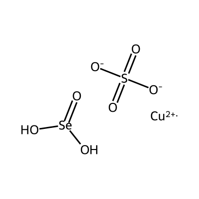 O=S(=O)([O-])[O-].O=[Se](O)O.[Cu+2]